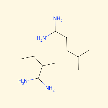 CC(C)CCC(N)N.CCC(C)C(N)N